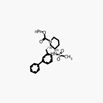 CCCOC(=O)N1CCC[C@H](NS(C)(=O)=O)[C@@H]1Cc1cccc(-c2ccccc2)c1